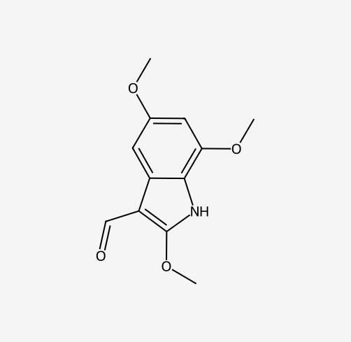 COc1cc(OC)c2[nH]c(OC)c(C=O)c2c1